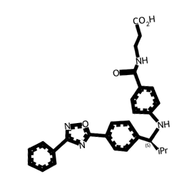 CC(C)[C@H](Nc1ccc(C(=O)NCCC(=O)O)cc1)c1ccc(-c2nc(-c3ccccc3)no2)cc1